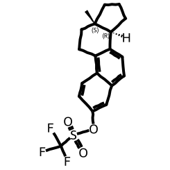 C[C@@]12CCC[C@H]1c1ccc3cc(OS(=O)(=O)C(F)(F)F)ccc3c1CC2